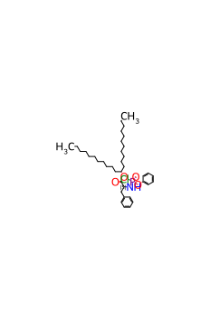 CCCCCCCCCCCC(CCCCCCCCCCC)OC(=O)[C@H](Cc1ccccc1)NP(=O)(Cl)Oc1ccccc1